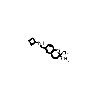 CC1(C)C=Cc2cc(CNC3CCC3)ccc2O1